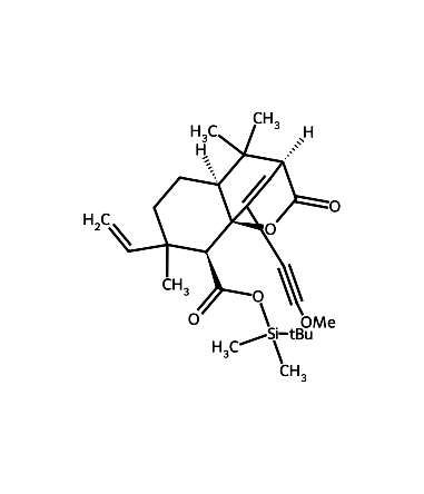 C=CC1(C)CC[C@H]2C(C)(C)[C@@H]3C=C(C#COC)[C@]2(OC3=O)[C@H]1C(=O)O[Si](C)(C)C(C)(C)C